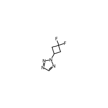 FC1(F)CC(n2ncnn2)C1